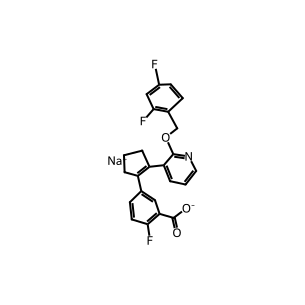 O=C([O-])c1cc(C2=C(c3cccnc3OCc3ccc(F)cc3F)CCC2)ccc1F.[Na+]